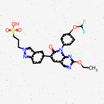 CCOc1ncc2cc(-c3ccc4nn(CCCS(=O)(=O)O)cc4c3)c(=O)n(-c3ccc(OC(F)F)cc3)c2n1